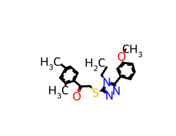 C=CCn1c(SCC(=O)c2ccc(C)cc2C)nnc1-c1cccc(OC)c1